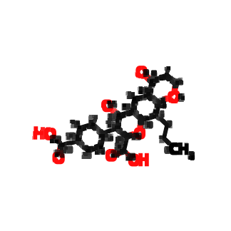 CCCc1c2occc(=O)c2cc2c(=O)c(-c3ccc(C(=O)O)cc3)c(C(=O)O)oc12